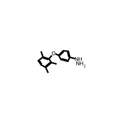 Cc1ccc(C)c(Oc2ccc(NN)cc2)c1C